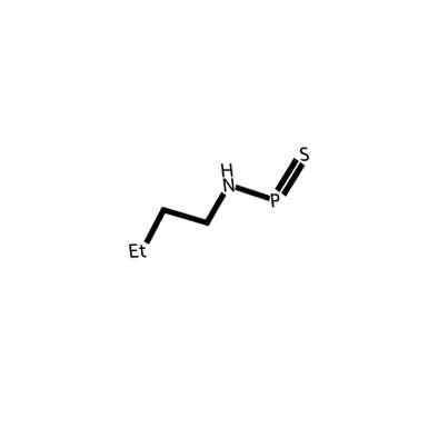 CCCCNP=S